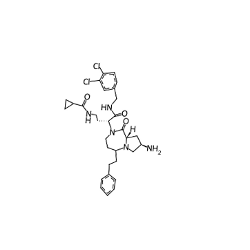 N[C@@H]1C[C@H]2C(=O)N([C@H](CCNC(=O)C3CC3)C(=O)NCc3ccc(Cl)c(Cl)c3)CCC(CCc3ccccc3)N2C1